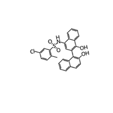 Cc1ccc(Cl)cc1S(=O)(=O)Nc1cc(-c2c(O)ccc3ccccc23)c(O)c2ccccc12